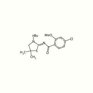 CCCCN1CC(C)(C)SC1=NC(=O)c1ccc(Cl)cc1OC